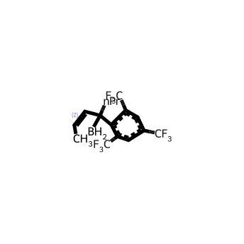 BC(/C=C\C)(CCC)c1c(C(F)(F)F)cc(C(F)(F)F)cc1C(F)(F)F